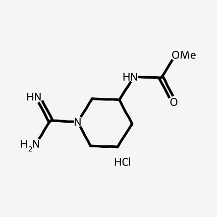 COC(=O)NC1CCCN(C(=N)N)C1.Cl